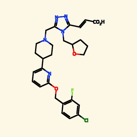 O=C(O)/C=C/c1nnc(CN2CCC(c3cccc(OCc4ccc(Cl)cc4F)n3)CC2)n1CC1CCCO1